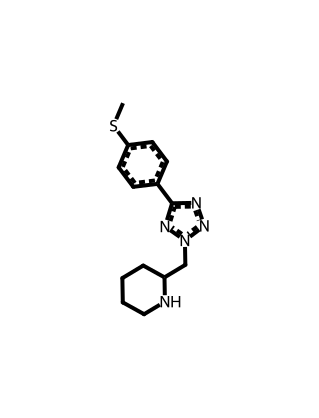 CSc1ccc(-c2nnn(CC3CCCCN3)n2)cc1